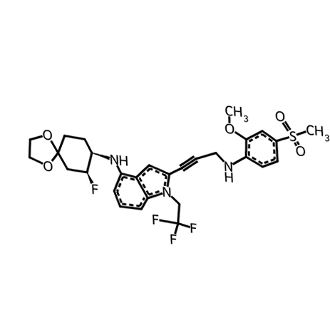 COc1cc(S(C)(=O)=O)ccc1NCC#Cc1cc2c(N[C@@H]3CCC4(C[C@@H]3F)OCCO4)cccc2n1CC(F)(F)F